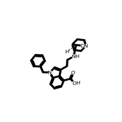 O=C(O)c1cccc2c1c(CCN[C@@H]1CN3CCC1CC3)cn2Cc1ccccc1